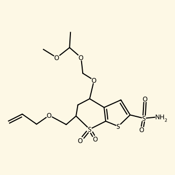 C=CCOCC1CC(OCOC(C)OC)c2cc(S(N)(=O)=O)sc2S1(=O)=O